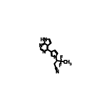 CC(F)(F)[C@@H](CC#N)n1ccc(-c2ncnc3[nH]ccc23)c1